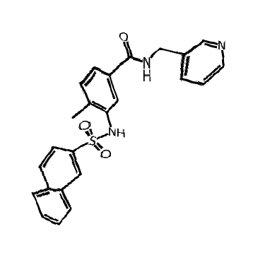 Cc1ccc(C(=O)NCc2cccnc2)cc1NS(=O)(=O)c1ccc2ccccc2c1